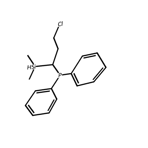 C[SiH](C)C(CCCl)P(c1ccccc1)c1ccccc1